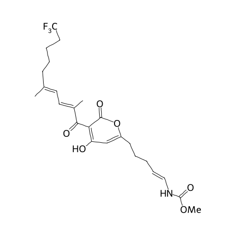 COC(=O)N/C=C/CCCc1cc(O)c(C(=O)/C(C)=C/C=C(\C)CCCCC(F)(F)F)c(=O)o1